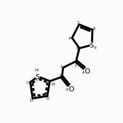 O=C(CC(=O)C1CC=CS1)c1cccs1